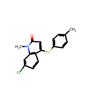 Cc1ccc(Sc2cc(=O)n(C)c3cc(Cl)ccc23)cc1